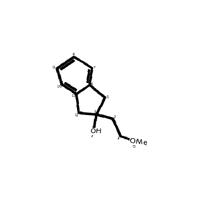 COCCC1(O)Cc2ccccc2C1